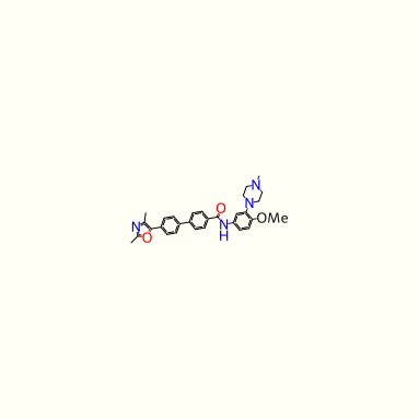 COc1ccc(NC(=O)c2ccc(-c3ccc(-c4oc(C)nc4C)cc3)cc2)cc1N1CCN(C)CC1